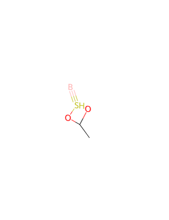 B#[SH]1OC(C)O1